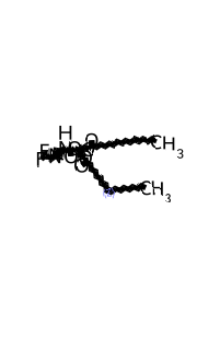 CCCCCCCC/C=C\CCCCCCCC(=O)OCC(COC(=O)CCCCCCCCCCCCCCC)OC(=O)NC1CN(CC(F)F)C1